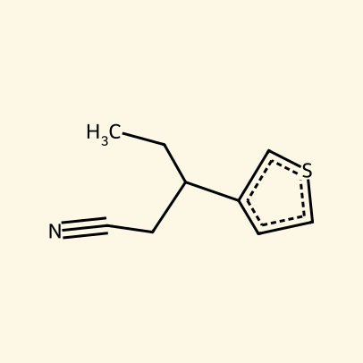 CCC(CC#N)c1ccsc1